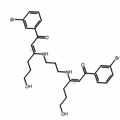 O=C(/C=C(/CCCO)NCCCN/C(=C\C(=O)c1cccc(Br)c1)CCCO)c1cccc(Br)c1